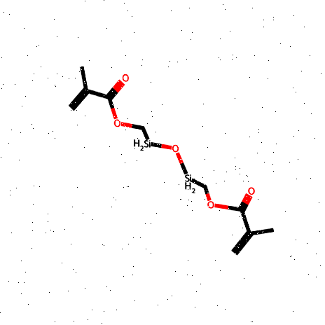 C=C(C)C(=O)OC[SiH2]O[SiH2]COC(=O)C(=C)C